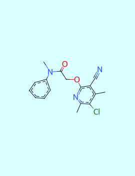 Cc1nc(OCC(=O)N(C)c2ccccc2)c(C#N)c(C)c1Cl